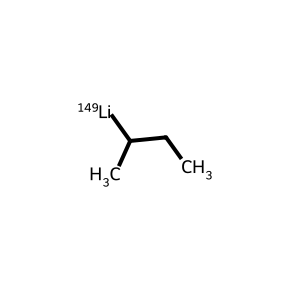 [149Li][CH](C)CC